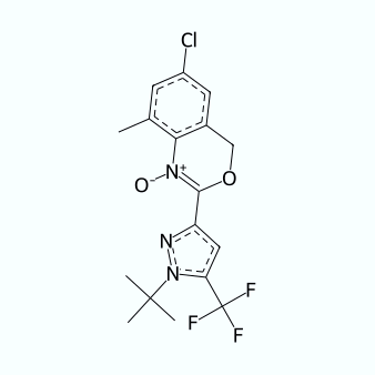 Cc1cc(Cl)cc2c1[N+]([O-])=C(c1cc(C(F)(F)F)n(C(C)(C)C)n1)OC2